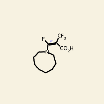 O=C(O)/C(=C(/F)N1CCCCCCCC1)C(F)(F)F